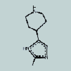 Cc1ncc(C2CCNCC2)[nH]1